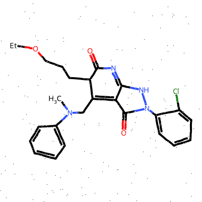 CCOCCCC1C(=O)N=c2[nH]n(-c3ccccc3Cl)c(=O)c2=C1CN(C)c1ccccc1